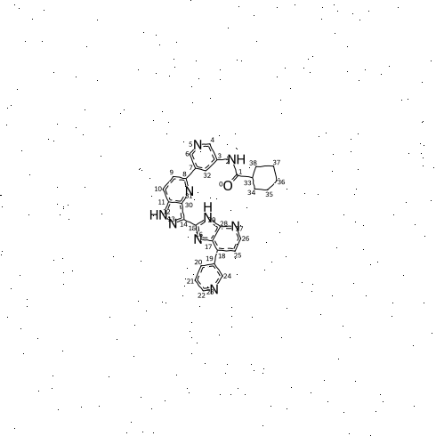 O=C(Nc1cncc(-c2ccc3[nH]nc(-c4nc5c(-c6cccnc6)ccnc5[nH]4)c3n2)c1)C1CCCCC1